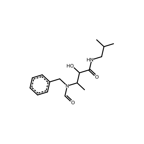 CC(C)CNC(=O)C(O)C(C)N(C=O)Cc1ccccc1